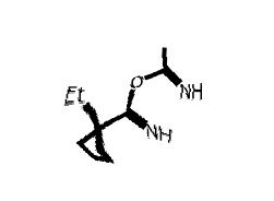 CCC1(C(=N)OC(C)=N)CC1